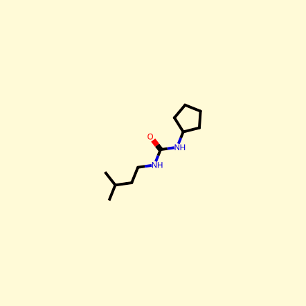 CC(C)CCNC(=O)NC1CCCC1